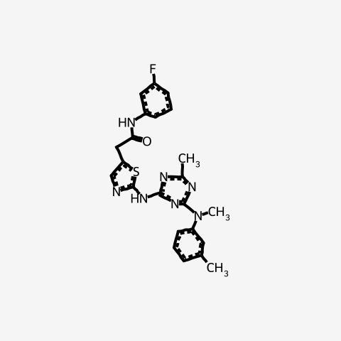 Cc1cccc(N(C)c2nc(C)nc(Nc3ncc(CC(=O)Nc4cccc(F)c4)s3)n2)c1